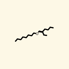 CCCCCCCCO/C=C(\CC)CCCC